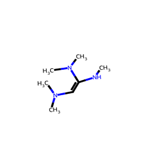 CNC(=CN(C)C)N(C)C